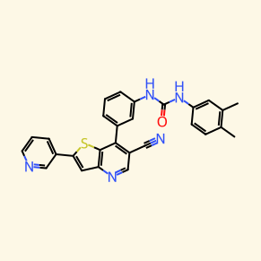 Cc1ccc(NC(=O)Nc2cccc(-c3c(C#N)cnc4cc(-c5cccnc5)sc34)c2)cc1C